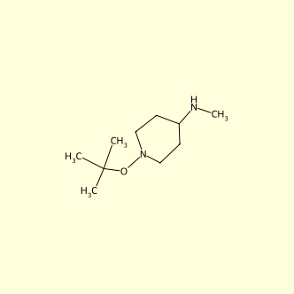 CNC1CCN(OC(C)(C)C)CC1